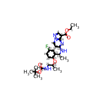 CCOC(=O)c1cnn2ccc(N[C@H](C)c3cc(F)ccc3OC(C)CNC(=O)OC(C)(C)C)nc12